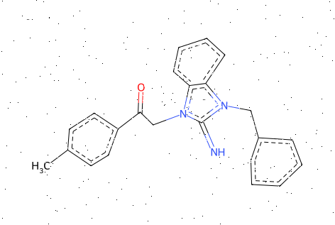 Cc1ccc(C(=O)Cn2c(=N)n(Cc3ccccc3)c3ccccc32)cc1